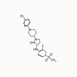 CCc1ccc(N2CCC(N3CCC(NC4=C(F)CC(S(C)(=O)=O)C=C4)C3=O)CC2)nc1